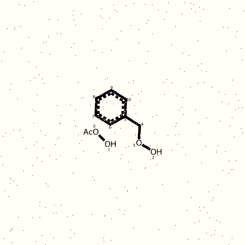 CC(=O)OO.OOCc1ccccc1